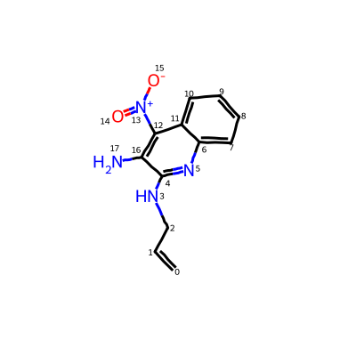 C=CCNc1nc2ccccc2c([N+](=O)[O-])c1N